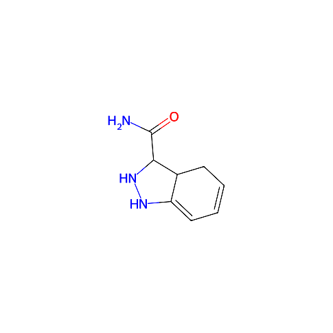 NC(=O)C1NNC2=CC=CCC21